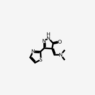 CN(C)C=C1C(=O)NN=C1c1nccs1